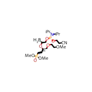 B[C@@H](COP(OCCC#N)N(C(C)C)C(C)C)O[C@H](/C=C/P(=O)(OC)OC)COCCOC